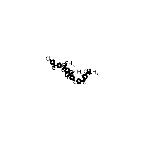 CCC(C)(Cl)c1ccc(C(=O)c2ccc(Oc3ccc(C(c4ccc(C(CC)(CC)Oc5ccc(C(=O)c6ccc(Cl)cc6)cc5)cc4)(C(F)(F)F)C(F)(F)F)cc3)cc2)cc1